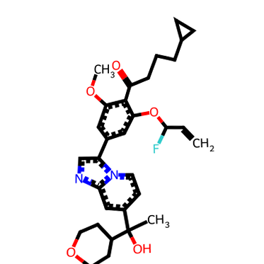 C=CC(F)Oc1cc(-c2cnc3cc(C(C)(O)C4CCOCC4)ccn23)cc(OC)c1C(=O)CCCC1CC1